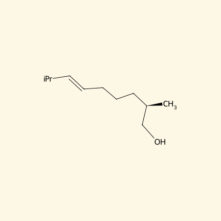 CC(C)/C=C/CCC[C@@H](C)CO